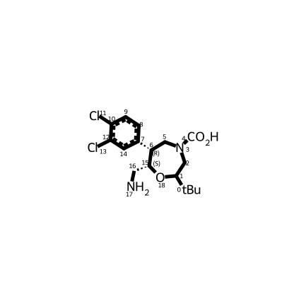 CC(C)(C)C1CN(C(=O)O)C[C@@H](c2ccc(Cl)c(Cl)c2)[C@@H](CN)O1